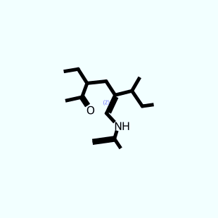 C=C(C)N/C=C(/CC(CC)C(C)=O)C(C)CC